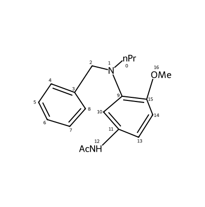 CCCN(Cc1ccccc1)c1cc(NC(C)=O)ccc1OC